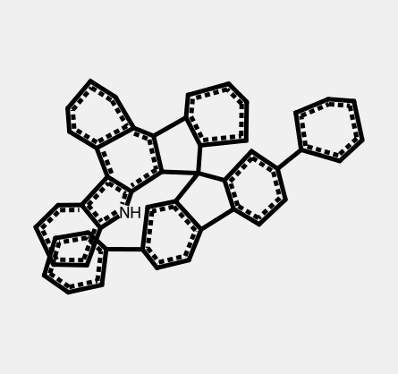 c1ccc(-c2ccc3c(c2)C2(c4cc(-c5ccccc5)ccc4-3)c3ccccc3-c3c2c2[nH]c4ccccc4c2c2ccccc32)cc1